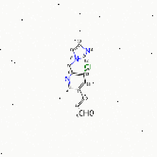 O=C/C=C/c1cnc(Cn2ccnc2)c(Cl)c1